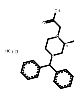 C[C@H]1CN(C(c2ccccc2)c2ccccc2)CCN1CC(=O)O.Cl.Cl